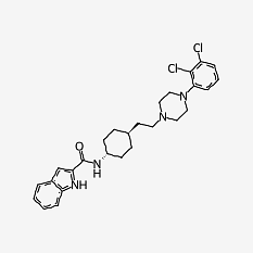 O=C(N[C@H]1CC[C@H](CCN2CCN(c3cccc(Cl)c3Cl)CC2)CC1)c1cc2ccccc2[nH]1